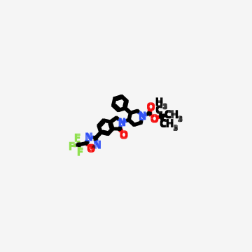 CC(C)(C)OC(=O)N1CCC(N2Cc3ccc(-c4noc(C(F)(F)F)n4)cc3C2=O)C(c2ccccc2)C1